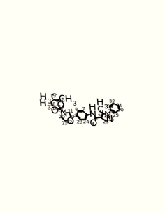 Cc1c(C(=O)Nc2ccc([C@H]3CN(C(=O)OC(C)(C)C)CCO3)cc2)cnn1-c1ccccc1